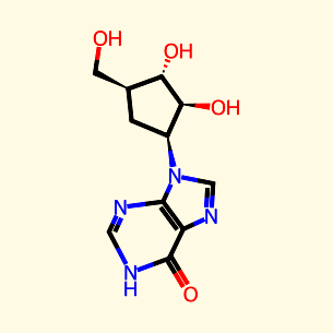 O=c1[nH]cnc2c1ncn2[C@H]1C[C@@H](CO)[C@H](O)[C@H]1O